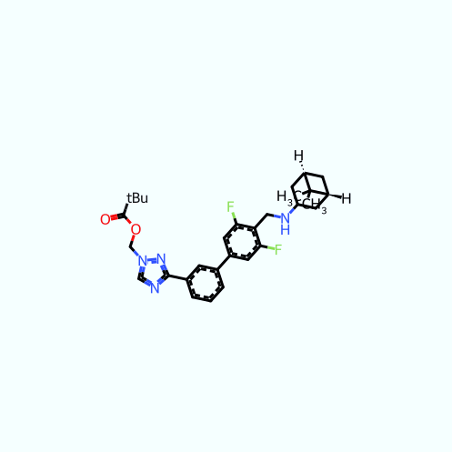 CC(C)(C)C(=O)OCn1cnc(-c2cccc(-c3cc(F)c(CNC4C[C@H]5C[C@H](C4)C5(C)C)c(F)c3)c2)n1